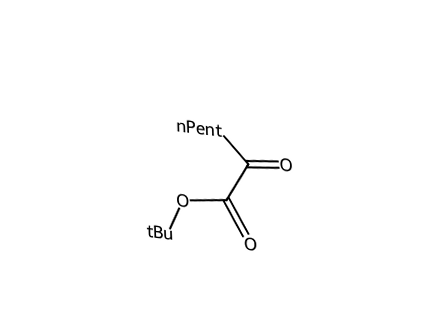 CCCCCC(=O)C(=O)OC(C)(C)C